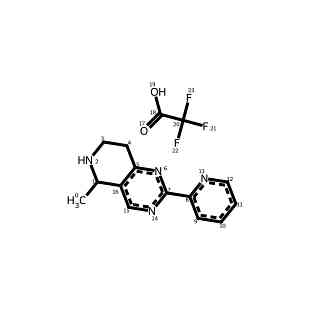 CC1NCCc2nc(-c3ccccn3)ncc21.O=C(O)C(F)(F)F